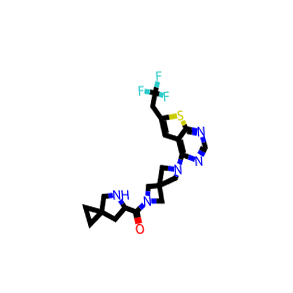 O=C(C1CC2(CC2)CN1)N1CC2(C1)CN(c1ncnc3sc(CC(F)(F)F)cc13)C2